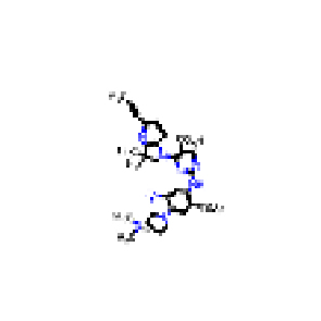 CC#Cc1ccc2c(n1)C(C)(C)CN2c1nc(Nc2cc(N)c(N3CC[C@@H](N(C)C)C3)cc2OC)ncc1C(=O)O